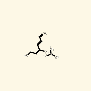 C=CC=CC(C)CCC#N.NP(O)O